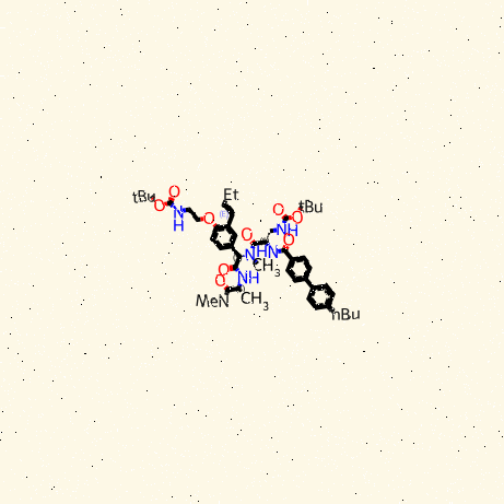 CC/C=C/c1cc([C@@H](C(=O)N[C@@H](C)C(=O)NC)N(C)C(=O)[C@H](CNC(=O)OC(C)(C)C)NC(=O)c2ccc(-c3ccc(CCCC)cc3)cc2)ccc1OCCNC(=O)OC(C)(C)C